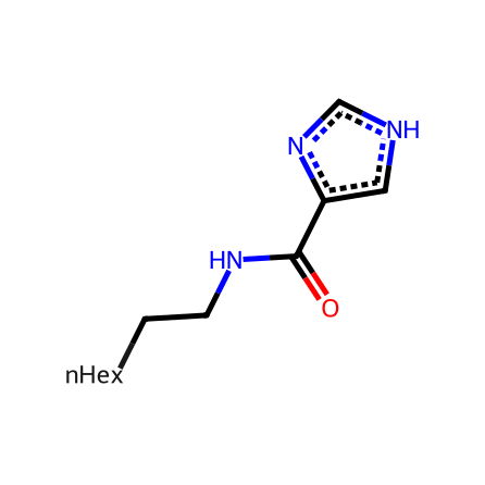 CCCCCCCCNC(=O)c1c[nH]cn1